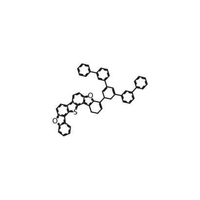 C1=C(c2cccc(-c3ccccc3)c2)C=C(c2cccc(-c3ccccc3)c2)CC1C1=CCCc2c1oc1ccc3c4ccc5oc6ccccc6c5c4sc3c21